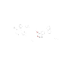 CCc1cccc2cc(OCOC)cc(-c3ncc4c(N5CC6CCC(C5)N6C(=O)OC(C)(C)C)nc(OC5CCN(CC6CCN(c7cc(C(C(=O)N8C[C@H](O)C[C@H]8C(=O)NC(C)c8ccc(-c9scnc9C)cc8)C(C)C)on7)CC6)CC5)nc4c3F)c12